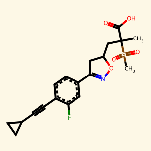 CC(CC1CC(c2ccc(C#CC3CC3)c(F)c2)=NO1)(C(=O)O)S(C)(=O)=O